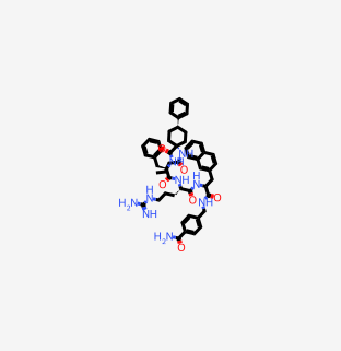 CCCC(=O)N[C@]1(C(=O)N[C@H](Cc2ccccc2)C(=O)N[C@@H](CCCNC(=N)N)C(=O)NC(Cc2ccc3ccccc3c2)C(=O)NCc2ccc(C(N)=O)cc2)CC[C@H](c2ccccc2)CC1